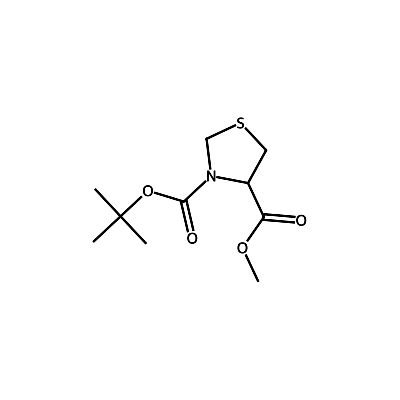 COC(=O)C1CSCN1C(=O)OC(C)(C)C